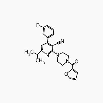 CC(C)c1cc(-c2cccc(F)c2)c(C#N)c(N2CCN(C(=O)c3ccco3)CC2)n1